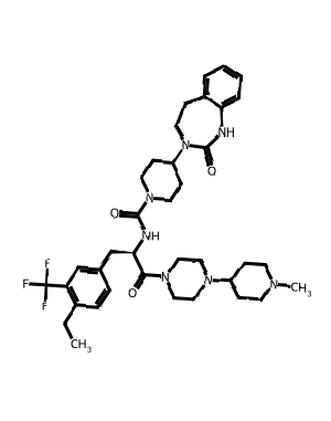 CCc1ccc(C[C@@H](NC(=O)N2CCC(N3CCc4ccccc4NC3=O)CC2)C(=O)N2CCN(C3CCN(C)CC3)CC2)cc1C(F)(F)F